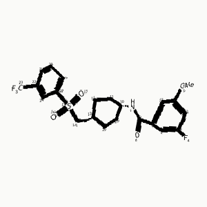 COc1cc(F)cc(C(=O)N[C@H]2CC[C@H](CS(=O)(=O)c3cccc(C(F)(F)F)c3)CC2)c1